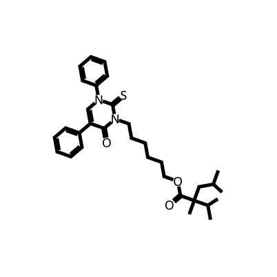 CC(C)CC(C)(C(=O)OCCCCCCn1c(=O)c(-c2ccccc2)cn(-c2ccccc2)c1=S)C(C)C